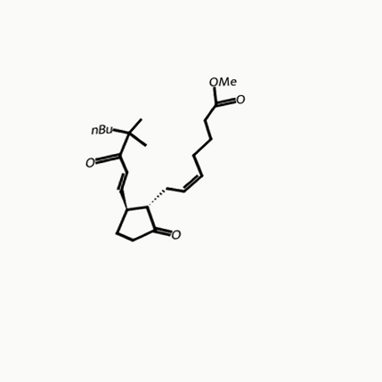 CCCCC(C)(C)C(=O)C=C[C@@H]1CCC(=O)[C@H]1C/C=C\CCCC(=O)OC